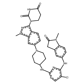 CN1C(=O)Cc2cc(Nc3nc(NC4CCN(c5ccc6c(N7CCC(=O)NC7=O)nn(C)c6c5)CC4)ncc3Cl)ccc21